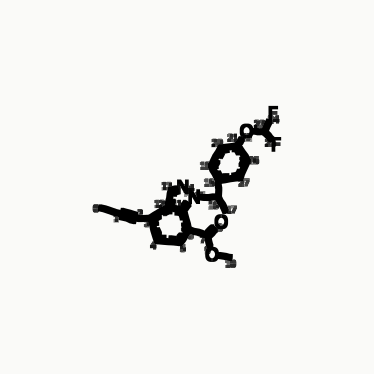 CC#Cc1ccc(C(=O)OC)c2c1cnn2C(C)c1ccc(OC(F)F)cc1